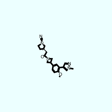 COc1ccc(C2CN(C(=O)C[C@H]3CCN(C#N)C3)C2)cc1-c1cnn(C)c1